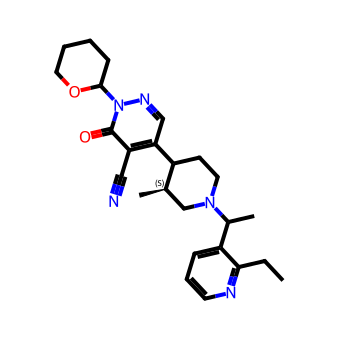 CCc1ncccc1C(C)N1CCC(c2cnn(C3CCCCO3)c(=O)c2C#N)[C@H](C)C1